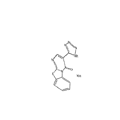 O=c1c(-c2nnn[nH]2)cnc2sc3ccccc3n12.[KH]